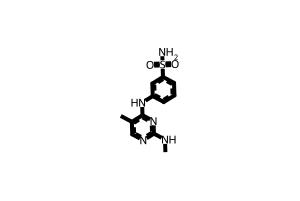 CNc1ncc(C)c(Nc2cccc(S(N)(=O)=O)c2)n1